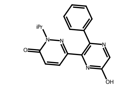 CC(C)n1nc(-c2nc(O)cnc2-c2ccccc2)ccc1=O